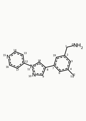 NCc1cc(F)cc(-c2cnn(-c3ccncc3)c2)c1